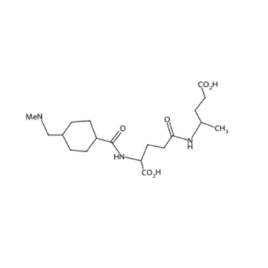 CNCC1CCC(C(=O)NC(CCC(=O)NC(C)CCC(=O)O)C(=O)O)CC1